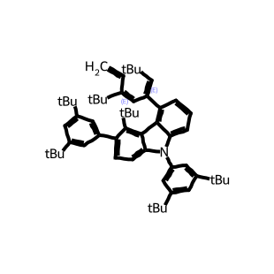 C=C/C(=C\C(=C/C(C)(C)C)c1cccc2c1c1c(C(C)(C)C)c(-c3cc(C(C)(C)C)cc(C(C)(C)C)c3)ccc1n2-c1cc(C(C)(C)C)cc(C(C)(C)C)c1)C(C)(C)C